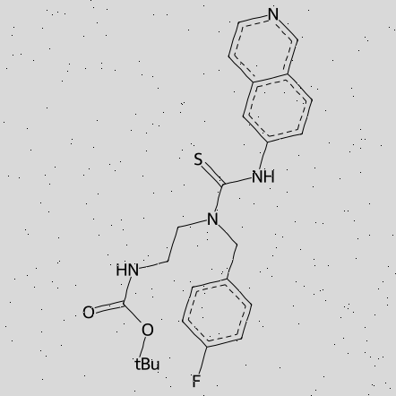 CC(C)(C)OC(=O)NCCN(Cc1ccc(F)cc1)C(=S)Nc1ccc2cnccc2c1